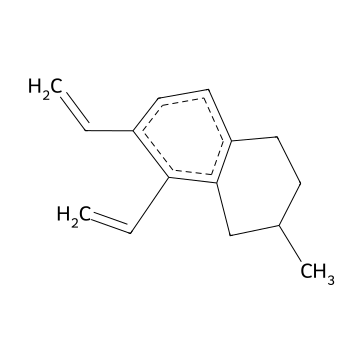 C=Cc1ccc2c(c1C=C)CC(C)CC2